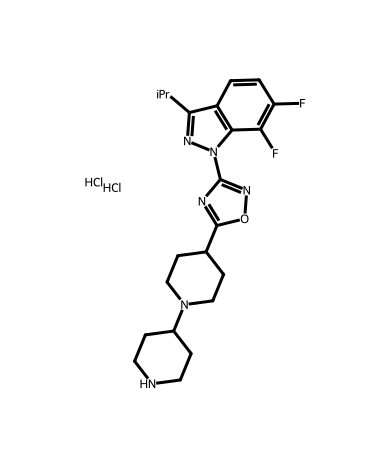 CC(C)c1nn(-c2noc(C3CCN(C4CCNCC4)CC3)n2)c2c(F)c(F)ccc12.Cl.Cl